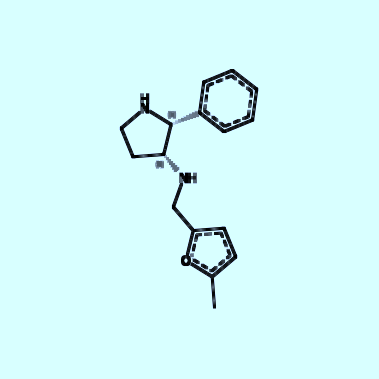 Cc1ccc(CN[C@@H]2CCN[C@@H]2c2ccccc2)o1